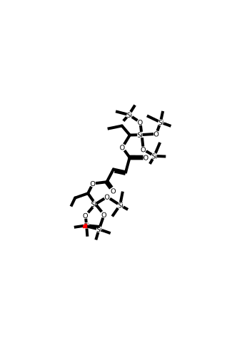 CCC(OC(=O)C=CC(=O)OC(CC)[Si](O[Si](C)(C)C)(O[Si](C)(C)C)O[Si](C)(C)C)[Si](O[Si](C)(C)C)(O[Si](C)(C)C)O[Si](C)(C)C